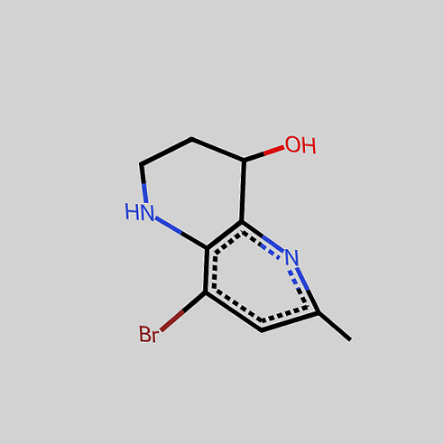 Cc1cc(Br)c2c(n1)C(O)CCN2